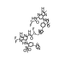 Cc1nc2c(Nc3ccc(-c4ccn(CC5[C@@H](C(=O)Nc6cc(Nc7ccc(-c8cncn8C)cc7N(C)S(C)(=O)=O)c7nc(C(F)F)[nH]c7n6)[C@H]5F)n4)cc3S(C)(=O)=O)cc(NC(=O)C3C[C@@H]3F)nc2[nH]1